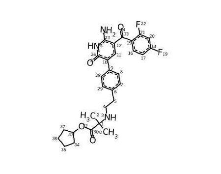 CC(C)(NCCc1ccc(-c2cc(C(=O)c3ccc(F)cc3F)c(N)[nH]c2=O)cc1)C(=O)OC1CCCC1